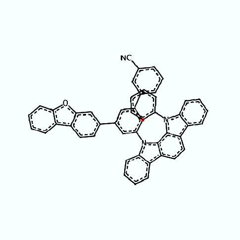 N#Cc1cccc(-c2cc(-c3ccc4c(c3)oc3ccccc34)cc(-n3c4ccccc4c4ccc5c6ccccc6n(-c6ccccc6)c5c43)c2)c1